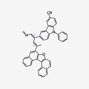 C=N/C=C(\C=C(/C)c1cc2ccccc2c2c1oc1ccc3ccccc3c12)c1ccc2c(c1)c1cc(C#N)ccc1n2-c1ccccc1